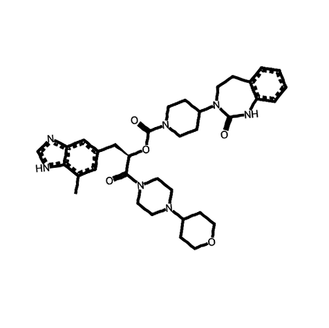 Cc1cc(C[C@@H](OC(=O)N2CCC(N3CCc4ccccc4NC3=O)CC2)C(=O)N2CCN(C3CCOCC3)CC2)cc2nc[nH]c12